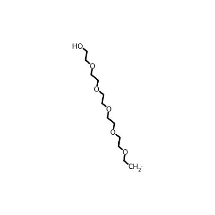 [CH2]COCCOCCOCCOCCOCCO